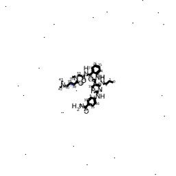 CCCNc1nc(Nc2ccc(C(N)=O)cc2)ncc1C(=O)Nc1ccccc1CNC(=O)CN(C)C(=O)/C=C/CN(C)C